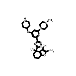 CN1CCN(c2cc(OC3CCNCC3)cc(-c3noc(C4(C)CCCc5sc(N)c(C#N)c54)n3)n2)CC1